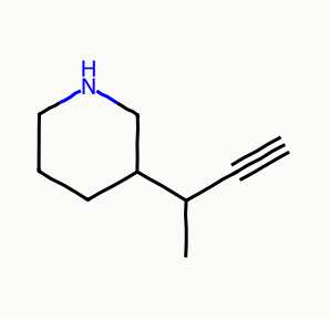 C#CC(C)C1CCCNC1